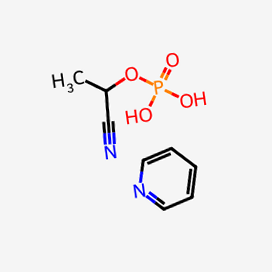 CC(C#N)OP(=O)(O)O.c1ccncc1